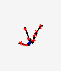 C=CC(=O)OCCCCCCCCCCOc1cccc(-c2nc3cc(OCCOCCOC(=O)C=C)ccc3nc2-c2cccc(OC(=O)c3ccc(C(=O)Oc4ccc(OCCCCCCOC(=O)C=C)cc4)cc3)c2)c1